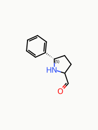 O=CC1CC[C@@H](c2ccccc2)N1